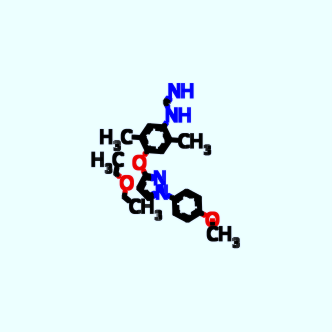 CCOCC.COc1ccc(-n2ccc(Oc3cc(C)c(NC=N)cc3C)n2)cc1